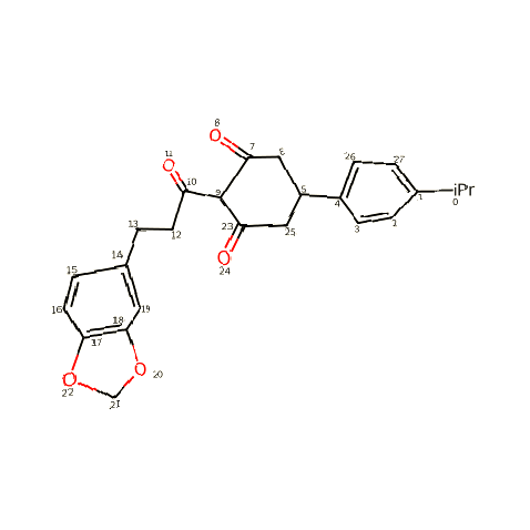 CC(C)c1ccc(C2CC(=O)C(C(=O)CCc3ccc4c(c3)OCO4)C(=O)C2)cc1